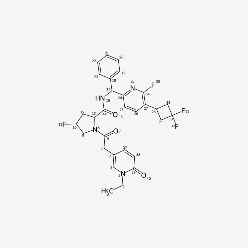 CCn1cc(CC(=O)N2CC(F)CC2C(=O)NC(c2ccccc2)c2ccc(C3CC(F)(F)C3)c(F)n2)ccc1=O